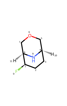 F[C@@H]1CC[C@@H]2COC[C@H]1N2